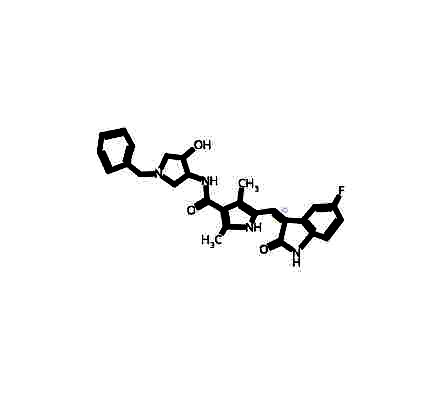 Cc1[nH]c(/C=C2\C(=O)Nc3ccc(F)cc32)c(C)c1C(=O)NC1CN(Cc2ccccc2)CC1O